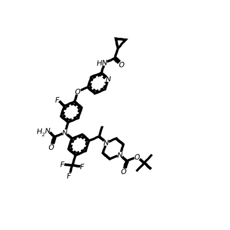 CC(c1cc(N(C(N)=O)c2ccc(Oc3ccnc(NC(=O)C4CC4)c3)c(F)c2)cc(C(F)(F)F)c1)N1CCN(C(=O)OC(C)(C)C)CC1